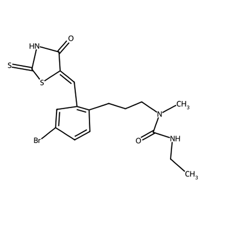 CCNC(=O)N(C)CCCc1ccc(Br)cc1/C=C1\SC(=S)NC1=O